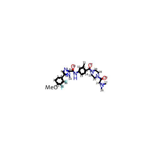 COc1ccc(-c2cnc(C(=O)Nc3ccc(C(=O)N4CCN(C(=O)CN(C)C)CC4)c(C)c3)n2C)c(F)c1F